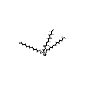 CCCCCCCCCCCCO[PH](O)(CCCCCCCCCCCC)OCCCCCCCCCCCC